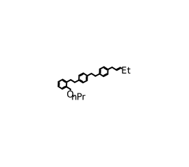 CCC=CCc1ccc(CCc2ccc(CCc3ccccc3COCCC)cc2)cc1